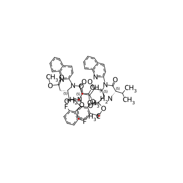 COC(=O)C[C@@H](C(=O)C(Oc1c(F)cccc1F)C(=O)C(Oc1c(F)cccc1F)C(=O)[C@H](CC(=O)OC)N(C(=O)[C@@H](N)C(C)C)c1ccc2ccccc2n1)N(C(=O)[C@@H](N)C(C)C)c1ccc2ccccc2n1